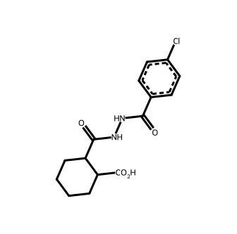 O=C(NNC(=O)C1CCCCC1C(=O)O)c1ccc(Cl)cc1